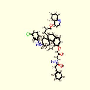 C[C@@H](COc1ccnc2c1[C@H](C)CCC2)C[C@H]1Cc2ccc(OCC(=O)CCNC(=O)Cc3ccccc3)cc2C12CCC(Nc1cccc(Cl)c1)(C(=O)O)CC2